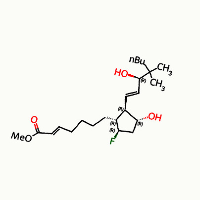 CCCCC(C)(C)[C@H](O)C=C[C@@H]1[C@@H](CCCCC=CC(=O)OC)[C@H](F)C[C@H]1O